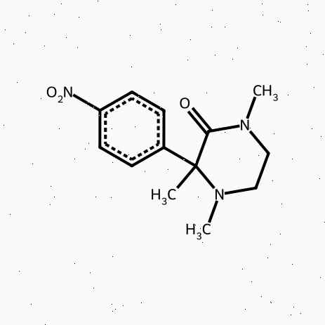 CN1CCN(C)C(C)(c2ccc([N+](=O)[O-])cc2)C1=O